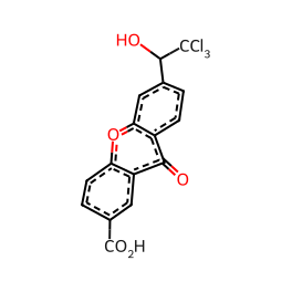 O=C(O)c1ccc2oc3cc(C(O)C(Cl)(Cl)Cl)ccc3c(=O)c2c1